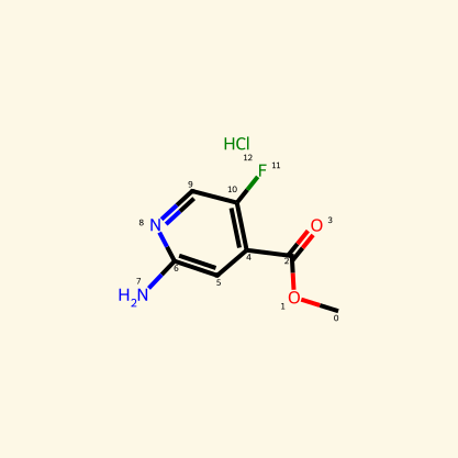 COC(=O)c1cc(N)ncc1F.Cl